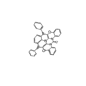 O=c1n2c3ccccc3oc3c-2n2c4c(oc5ccccc5n1-4)B(c1ccccc1)c1cccc(c1-2)B3c1ccccc1